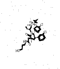 CC[C@@H](CNS(=O)(=O)C1(C)CC1)N1C(=O)[C@@](C)(CC(=O)NCCCO)C[C@H](c2cccc(Cl)c2)[C@H]1c1ccc(Cl)cc1